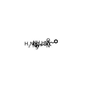 Cc1nc(CCCCc2csc(N=C(N)N)n2)[nH]c(=O)c1CCc1ccccc1